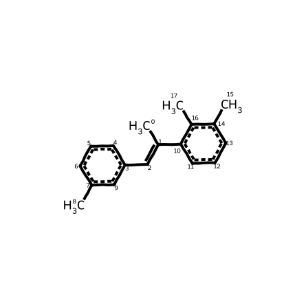 C/C(=C\c1cccc(C)c1)c1cccc(C)c1C